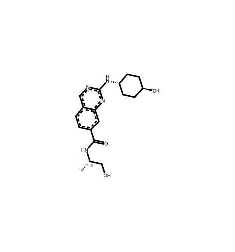 C[C@@H](CO)NC(=O)c1ccc2cnc(N[C@H]3CC[C@H](O)CC3)nc2c1